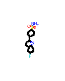 NS(=O)(=O)c1ccc(-c2ccc3cc(F)ccc3n2)cc1